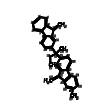 C=C1c2ccccc2-c2ccc(C(C)(CC)c3ccc4c(c3)C(=C)c3cc(C)ccc3-4)cc21